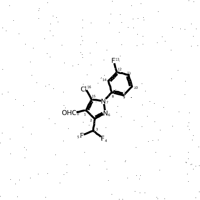 O=Cc1c(C(F)F)nn(-c2cccc(F)c2)c1Cl